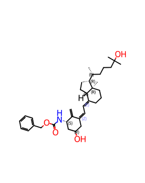 C=C1/C(=C\C=C2/CCC[C@]3(C)[C@@H]([C@H](C)CCCC(C)(C)O)CC[C@@H]23)C[C@@H](O)C[C@@H]1NC(=O)OCc1ccccc1